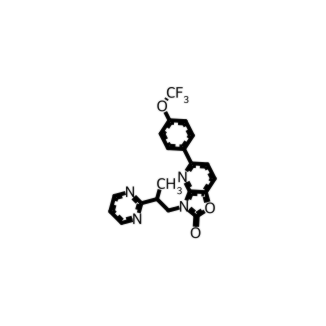 CC(Cn1c(=O)oc2ccc(-c3ccc(OC(F)(F)F)cc3)nc21)c1ncccn1